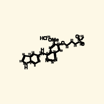 COc1cc2c(Nc3ccc4[nH]ccc4c3)ncnc2cc1OCCCS(C)(=O)=O.Cl